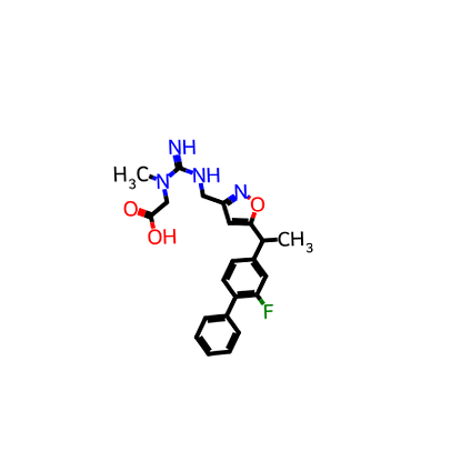 CC(c1ccc(-c2ccccc2)c(F)c1)c1cc(CNC(=N)N(C)CC(=O)O)no1